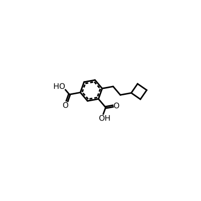 O=C(O)c1ccc(CCC2CCC2)c(C(=O)O)c1